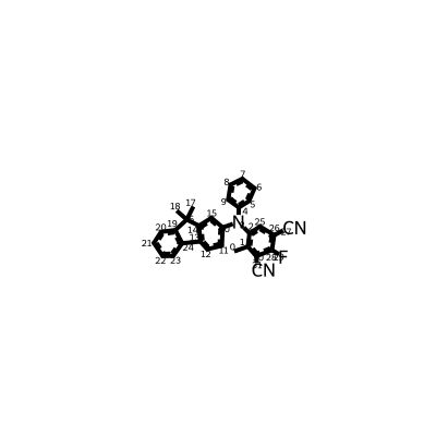 Cc1c(N(c2ccccc2)c2ccc3c(c2)C(C)(C)c2ccccc2-3)cc(C#N)c(F)c1C#N